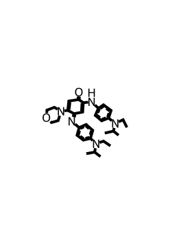 CCN(c1ccc(N=C2C=C(Nc3ccc(N(CC)C(C)C)cc3)C(=O)C=C2N2CCOCC2)cc1)C(C)C